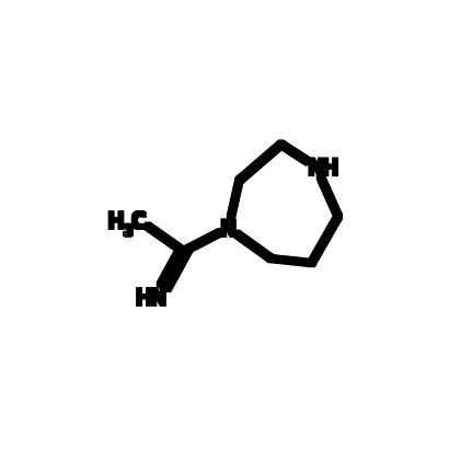 CC(=N)N1CCCNCC1